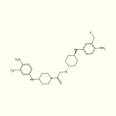 O=C(CO[C@H]1CC[C@H](Nc2ccc([N+](=O)[O-])c(CF)c2)CC1)N1CCC(Nc2ccc([N+](=O)[O-])c(C(F)(F)F)c2)CC1